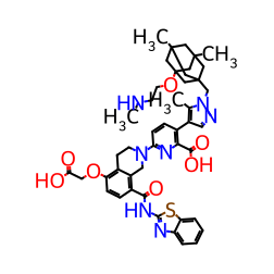 CNCCOC12CC3(C)CC(C)(CC(Cn4ncc(-c5ccc(N6CCc7c(OCC(=O)O)ccc(C(=O)Nc8nc9ccccc9s8)c7C6)nc5C(=O)O)c4C)(C3)C1)C2